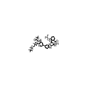 CC(C)(C)[S@+]([O-])N[C@]1(c2ncc(-c3ccc4nc5n(c4c3)[C@@H]3C[C@H]5NC(=O)c4cccc(OC(F)F)c43)cc2F)C[C@](C)(CO[Si](C)(C)C(C)(C)C)C1